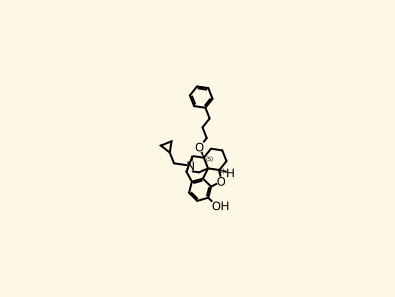 Oc1ccc2c3c1O[C@H]1CCC[C@@]4(OCCCc5ccccc5)C(C2)N(CC2CC2)CCC314